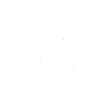 CN(c1ccc([Si](C)(C)C)cc1)c1cccc2c1oc1c(F)cccc12